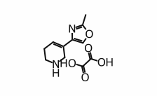 Cc1nc(C2=CCCNC2)co1.O=C(O)C(=O)O